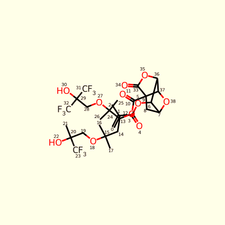 C=C(C)C(=O)OC1C2CC3(C(=O)OC(CC(C)(C)OCC(C)(O)C(F)(F)F)C(C)(C)OCC(O)(C(F)(F)F)C(F)(F)F)C(=O)OC1C3O2